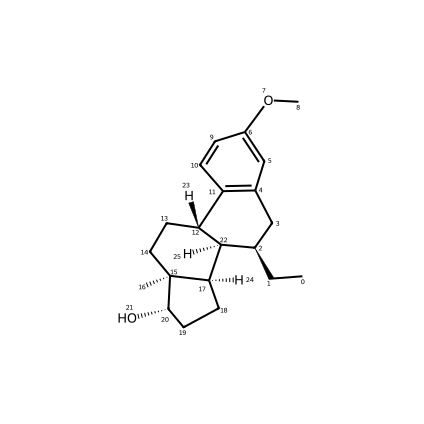 CC[C@@H]1Cc2cc(OC)ccc2[C@H]2CC[C@@]3(C)[C@H](CC[C@@H]3O)[C@H]12